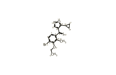 CCOc1c(Br)ccc(C(=S)c2cnoc2C2CC2)c1C